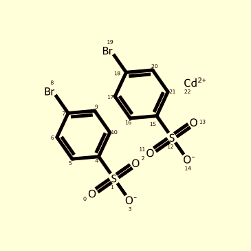 O=S(=O)([O-])c1ccc(Br)cc1.O=S(=O)([O-])c1ccc(Br)cc1.[Cd+2]